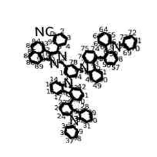 N#Cc1cccc(-c2nc(-c3cc(-n4c5ccccc5c5c(-c6cccc7c6c6ccccc6n7-c6ccccc6)cccc54)cc(-n4c5ccccc5c5c(-c6cccc7c6c6ccccc6n7-c6ccccc6)cccc54)c3)nc3c2-c2cccc4cccc-3c24)c1